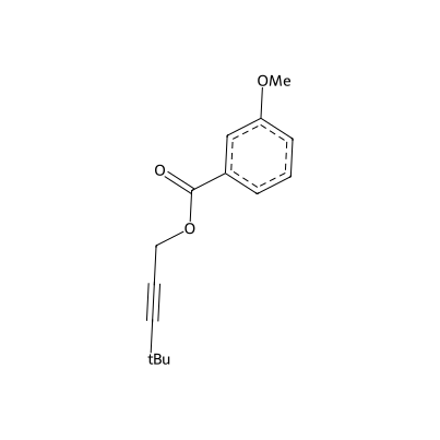 COc1cccc(C(=O)OCC#CC(C)(C)C)c1